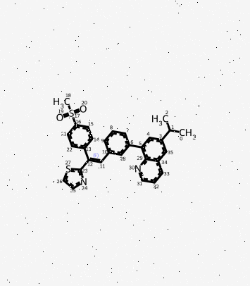 CC(C)c1cc(-c2cccc(/C=C(\c3ccc(S(C)(=O)=O)cc3)c3nccs3)c2)c2ncccc2c1